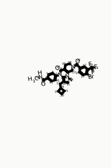 CNC(=O)c1ccc(-n2c(=O)c3c(n4ncc(CC5CCC5)c24)CN(C(=O)c2ccc(Br)c(C(F)(F)F)c2)CC3)cc1